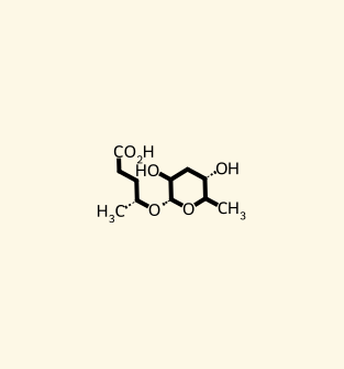 CC1O[C@H](O[C@H](C)CCC(=O)O)C(O)C[C@@H]1O